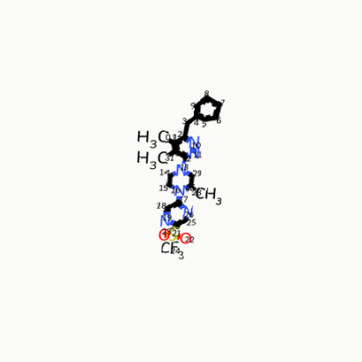 Cc1c(Cc2ccccc2)nnc(N2CCN(c3cnc(S(=O)(=O)C(F)(F)F)cn3)[C@H](C)C2)c1C